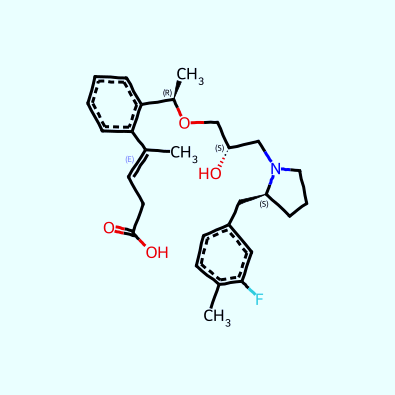 C/C(=C\CC(=O)O)c1ccccc1[C@@H](C)OC[C@@H](O)CN1CCC[C@H]1Cc1ccc(C)c(F)c1